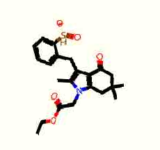 CCOC(=O)Cn1c(C)c(Cc2ccccc2[SH](=O)=O)c2c1CC(C)(C)CC2=O